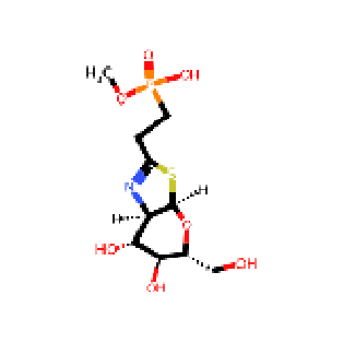 COP(=O)(O)CCC1=N[C@@H]2[C@@H](O)[C@H](O)[C@@H](CO)O[C@@H]2S1